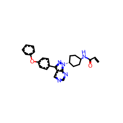 C=CC(=O)N[C@H]1CC[C@H](n2nc(-c3ccc(Oc4ccccc4)cc3)c3cncnc32)CC1